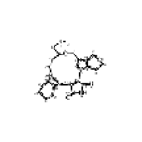 NCC1CCn2cc(c3ccccc32)C2=C(C(=O)NC2=O)c2cn(c3ccccc23)CC1